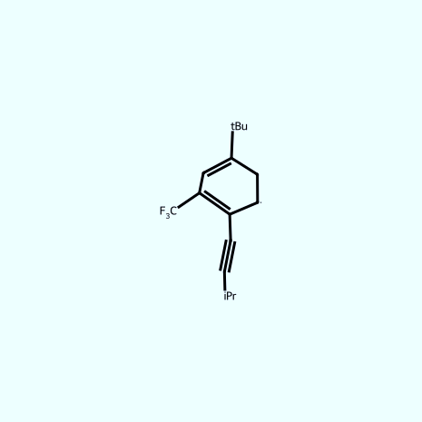 CC(C)C#CC1=C(C(F)(F)F)C=C(C(C)(C)C)C[CH]1